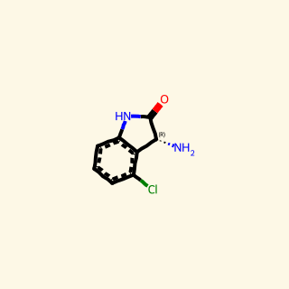 N[C@H]1C(=O)Nc2cccc(Cl)c21